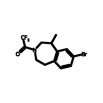 CC1CN(C(=O)C(F)(F)F)CCc2ccc(Br)cc21